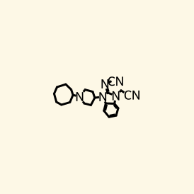 N#CCn1c(=NC#N)n(C2CCN(C3CCCCCCC3)CC2)c2ccccc21